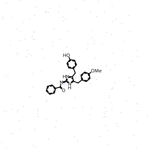 COc1ccc(Cc2[nH]/c(=N\C(=O)c3ccccc3)[nH]c2Cc2ccc(O)cc2)cc1